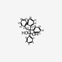 OC(O)(c1ccccc1)C(Cc1ccccc1)(c1ccccc1)c1ccccc1